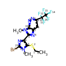 CCSc1c(-c2nc3cc(C(F)(F)C(F)(F)F)nnc3n2C)nc(Br)n1C